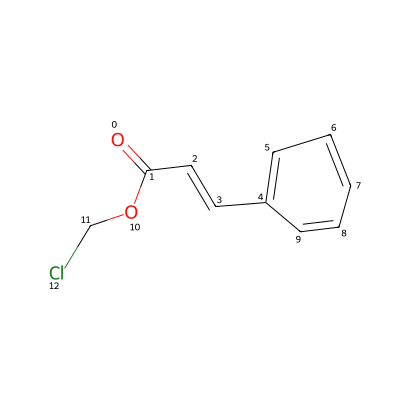 O=C(C=Cc1ccccc1)OCCl